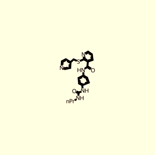 CCCNC(=O)Nc1ccc(NC(=O)c2cccnc2SCc2ccncc2)cc1